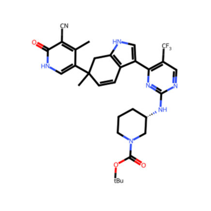 Cc1c(C2(C)C=Cc3c(-c4nc(N[C@H]5CCCN(C(=O)OC(C)(C)C)C5)ncc4C(F)(F)F)c[nH]c3C2)c[nH]c(=O)c1C#N